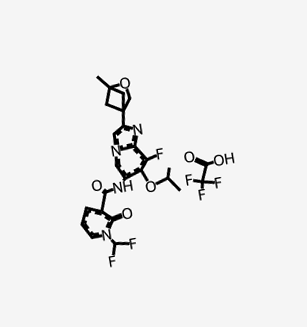 CC(C)Oc1c(NC(=O)c2cccn(C(F)F)c2=O)cn2cc(C34COC(C)(C3)C4)nc2c1F.O=C(O)C(F)(F)F